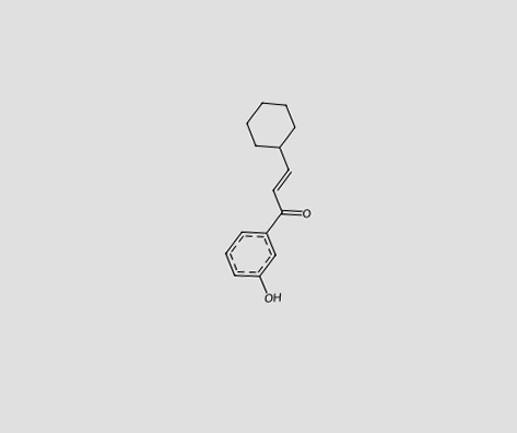 O=C(C=CC1CCCCC1)c1cccc(O)c1